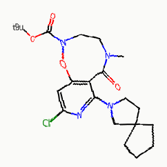 CN1CCN(C(=O)OC(C)(C)C)Oc2cc(Cl)nc(N3CCC4(CCCC4)C3)c2C1=O